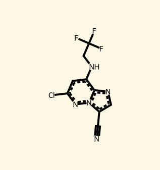 N#Cc1cnc2c(NCC(F)(F)F)cc(Cl)nn12